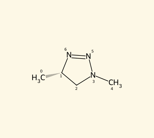 C[C@H]1CN(C)N=N1